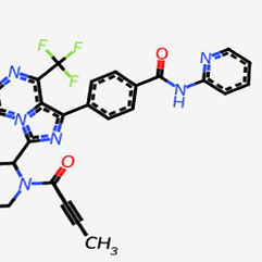 CC#CC(=O)N1CCCCC1c1nc(-c2ccc(C(=O)Nc3ccccn3)cc2)c2c(C(F)(F)F)nccn12